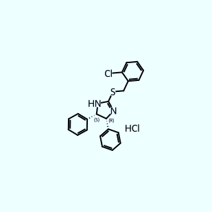 Cl.Clc1ccccc1CSC1=N[C@H](c2ccccc2)[C@H](c2ccccc2)N1